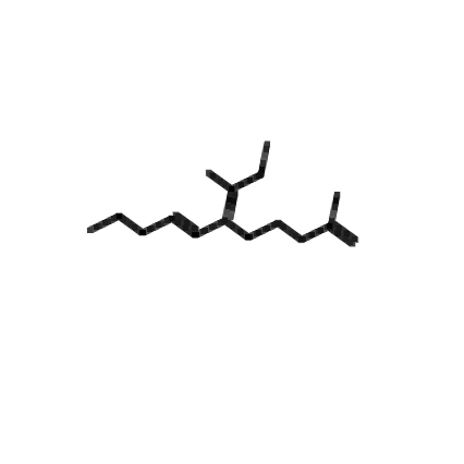 C=C(C)CCCC(C=CCCC)=C(C)CC